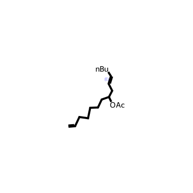 C=CCCCCCC(C/C=C/CCCC)OC(C)=O